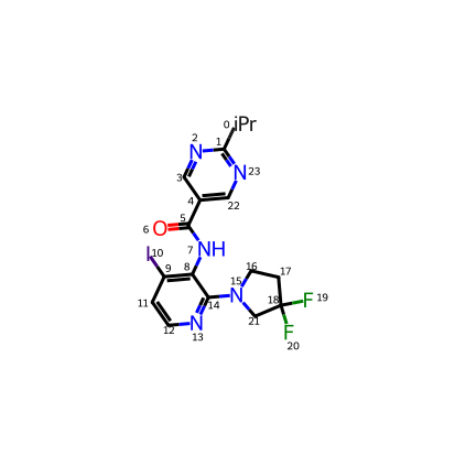 CC(C)c1ncc(C(=O)Nc2c(I)ccnc2N2CCC(F)(F)C2)cn1